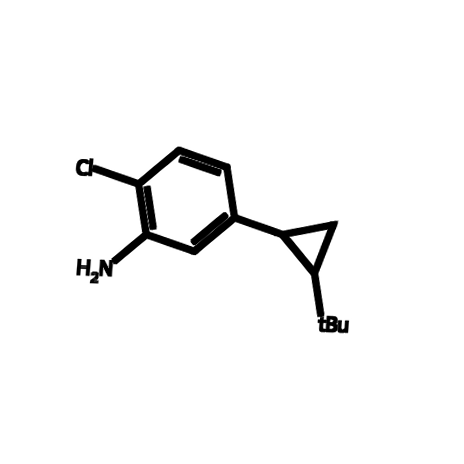 CC(C)(C)C1C[C]1c1ccc(Cl)c(N)c1